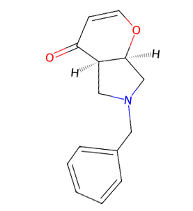 O=C1C=CO[C@H]2CN(Cc3ccccc3)C[C@@H]12